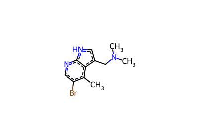 Cc1c(Br)cnc2[nH]cc(CN(C)C)c12